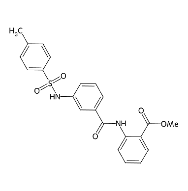 COC(=O)c1ccccc1NC(=O)c1cccc(NS(=O)(=O)c2ccc(C)cc2)c1